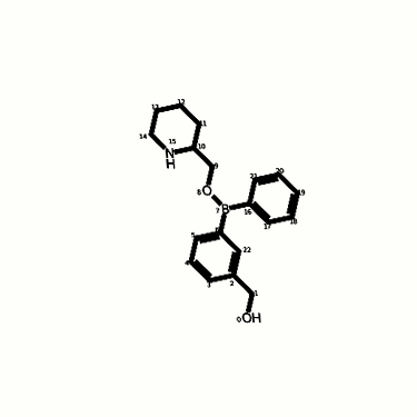 OCc1cccc(B(OCC2CCCCN2)c2ccccc2)c1